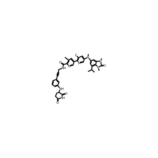 Cc1cc(-c2ncc(N(C)c3cc(C(C)C)c4c(c3)n(C)c(=O)n4C)cc2F)cnc1C(=O)NCC#Cc1cccc(NC2CCC(=O)NC2=O)c1